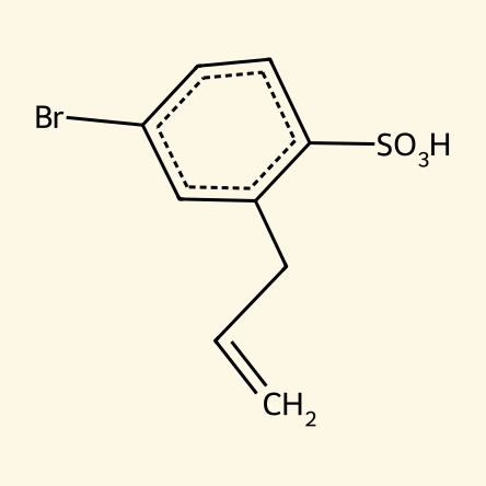 C=CCc1cc(Br)ccc1S(=O)(=O)O